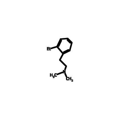 CCc1ccccc1CCN(C)C